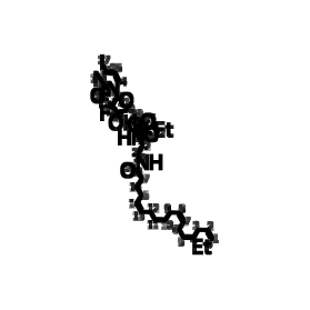 CC/C=C\C/C=C\C/C=C\C/C=C\C/C=C\CCCC(=O)NCCNP(=O)(OCC)OC[C@H]1O[C@@H](n2ccc(I)nc2=O)C(F)(F)[C@@H]1O